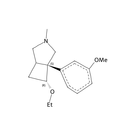 CCO[C@@H]1CC2CN(C)C[C@@]21c1cccc(OC)c1